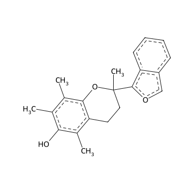 Cc1c(C)c2c(c(C)c1O)CCC(C)(c1occ3ccccc13)O2